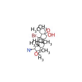 CC1(C)CCC2(C(=O)O)CC[C@]3(C)C(=C(Br)CC4[C@@]5(C)CC(C#N)C(=O)C(C)(C)C5CC[C@]43C)C2C1